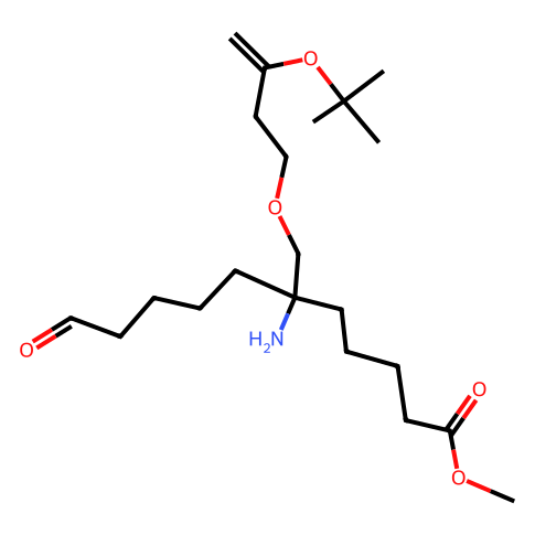 C=C(CCOCC(N)(CCCCC=O)CCCCC(=O)OC)OC(C)(C)C